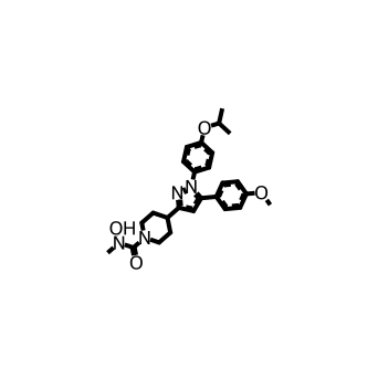 COc1ccc(-c2cc(C3CCN(C(=O)N(C)O)CC3)nn2-c2ccc(OC(C)C)cc2)cc1